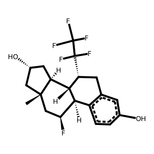 C[C@@]12C[C@H](O)C[C@H]1[C@H]1[C@@H](c3ccc(O)cc3C[C@H]1C(F)(F)C(F)(F)F)[C@@H](F)C2